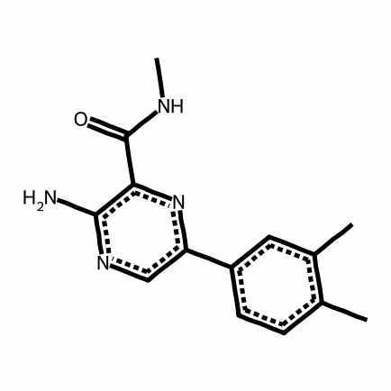 CNC(=O)c1nc(-c2ccc(C)c(C)c2)cnc1N